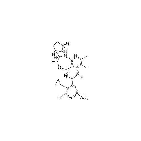 Cc1nc2c3c(nc(-c4cc(N)cc(Cl)c4C4CC4)c(F)c3c1C)O[C@@H](C)[C@@H]1[C@@H]3CC[C@H](CN21)N3